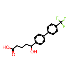 O=C(O)CCCC(O)c1ccc(-c2ccc(C(F)(F)F)cc2)cc1